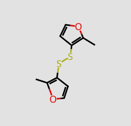 Cc1occc1SSc1ccoc1C